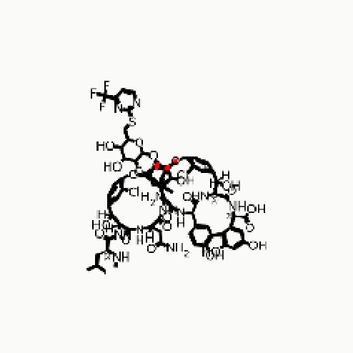 CN[C@@H](CC(C)C)C(=O)N[C@H]1C(=O)N[C@@H](CC(N)=O)C(=O)NC2C(=O)NC3C(=O)N[C@H](C(=O)N[C@@H](C(=O)O)c4cc(O)cc(O)c4-c4cc3ccc4O)[C@H](O)c3ccc(c(Cl)c3)Oc3cc2cc(c3OC2OC(CSc3nccc(C(F)(F)F)n3)C(O)C(O)C2OC2CC(C)(N)C(O)C(C)O2)Oc2ccc(cc2Cl)[C@H]1O